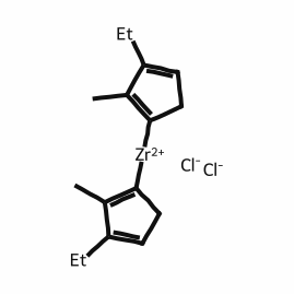 CCC1=CC[C]([Zr+2][C]2=C(C)C(CC)=CC2)=C1C.[Cl-].[Cl-]